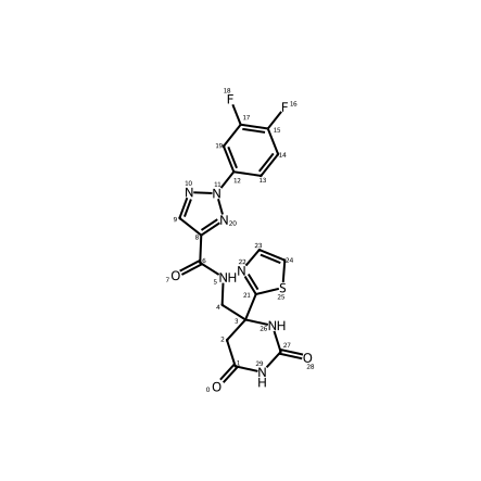 O=C1CC(CNC(=O)c2cnn(-c3ccc(F)c(F)c3)n2)(c2nccs2)NC(=O)N1